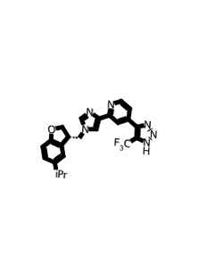 CC(C)c1ccc2c(c1)[C@@H](Cn1cnc(-c3cc(-c4nn[nH]c4C(F)(F)F)ccn3)c1)CO2